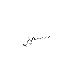 C=CCCCCCCOc1ccc(C(C)=O)cc1C